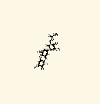 CC(C)C(=O)OCn1c(=O)c(C#N)nn(-c2cc(Cl)c(Oc3cc(C(C)C)c(=O)[nH]n3)c(Cl)c2)c1=O